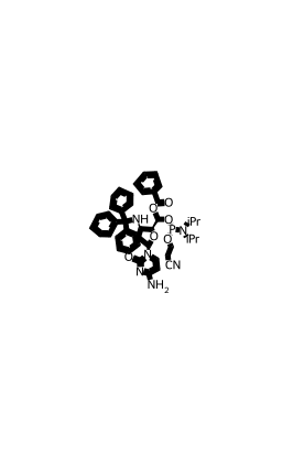 CC(C)N(C(C)C)P(OCCC#N)OC(OC(=O)c1ccccc1)[C@H]1O[C@@H](n2ccc(N)nc2=O)C[C@@H]1NC(c1ccccc1)(c1ccccc1)c1ccccc1